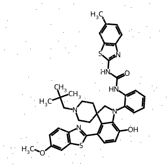 COc1ccc2nc(-c3ccc(O)c4c3C3(CCN(CC(C)(C)C)CC3)CN4c3ccccc3NC(=O)Nc3nc4ccc(C)cc4s3)sc2c1